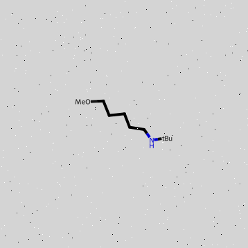 COCCCCCNC(C)(C)C